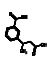 CC(CC(=O)O)c1cccc(C(=O)O)c1